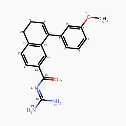 COc1cccc(C2=CCCc3ccc(C(=O)N=C(N)N)cc32)c1